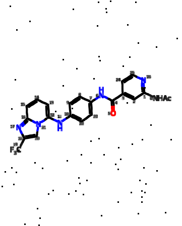 CC(=O)Nc1cc(C(=O)Nc2ccc(Nc3cccc4nc(C(F)(F)F)cn34)cc2)ccn1